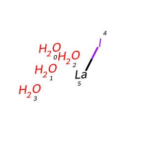 O.O.O.O.[I][La]